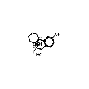 Cl.Oc1ccc2c(c1)[C@@]13CCCC[C@@]1(O)[C@@H](C2)NCC3